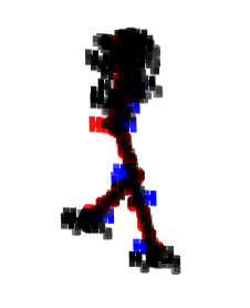 CC[C@H](C)[C@@H]([C@@H](CC(=O)N1CCC[C@H]1[C@H](OC)[C@@H](C)C(=O)N[C@H](C)[C@@H](OC(=O)[C@@H](NC(=O)[C@@H]1CCCN1C(=O)[C@H](CC(=O)O)NC(=O)CCOCCOCCOCCNC(=O)[C@H](CCCCNC(=O)CCOCCOCCOCCNC(=O)OC(C)(C)C)NC(=O)CCOCCOCCOCCNC(=O)OC(C)(C)C)C(C)C)c1ccccc1)OC)N(C)C(=O)[C@@H](NC(=O)[C@H](C(C)C)N(C)C(=O)OCc1ccccc1)C(C)C